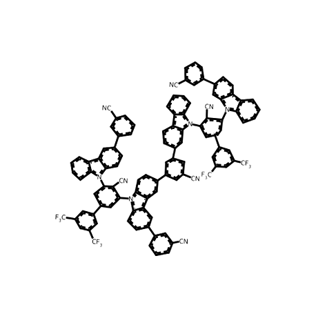 N#Cc1cccc(-c2ccc3c(c2)c2ccccc2n3-c2cc(-c3cc(C(F)(F)F)cc(C(F)(F)F)c3)cc(-n3c4ccc(-c5cccc(C#N)c5)cc4c4cc(-c5cc(C#N)cc(-c6ccc7c8ccccc8n(-c8cc(-c9cc(C(F)(F)F)cc(C(F)(F)F)c9)cc(-n9c%10ccccc%10c%10ccc(-c%11cccc(C#N)c%11)cc%109)c8C#N)c7c6)c5)ccc43)c2C#N)c1